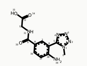 Cn1nnnc1-c1cc(C(=O)NCC(=O)O)ccc1N